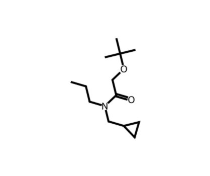 CCCN(CC1CC1)C(=O)COC(C)(C)C